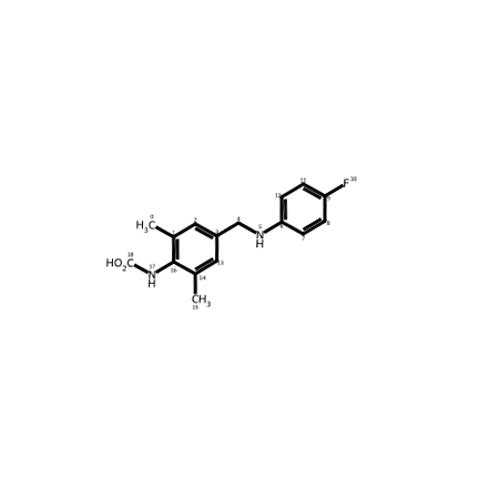 Cc1cc(CNc2ccc(F)cc2)cc(C)c1NC(=O)O